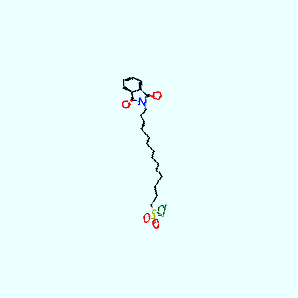 O=C1c2ccccc2C(=O)N1CCCCCCCCCCCCCCS(=O)(=O)Cl